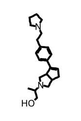 CC(CO)N1CC2CC=C(c3ccc(CCN4CCCC4)cc3)C2C1